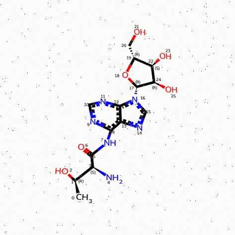 C[C@@H](O)[C@H](N)C(=O)Nc1ncnc2c1ncn2[C@@H]1O[C@H](CO)[C@@H](O)[C@H]1O